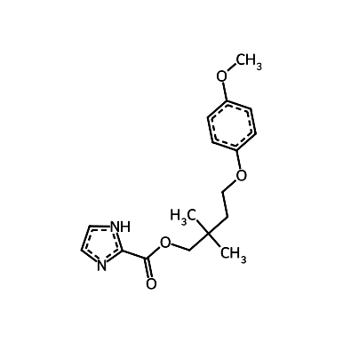 COc1ccc(OCCC(C)(C)COC(=O)c2ncc[nH]2)cc1